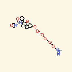 Cc1c(C(=O)c2cccc3cc(OCCOCCOCCOCCOCCOCCN=[N+]=[N-])ccc23)c2cccc3c2n1[C@H](CN1CCOCC1)CO3